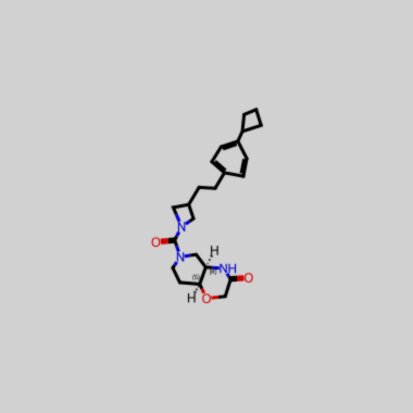 O=C1CO[C@H]2CCN(C(=O)N3CC(CCc4ccc(C5CCC5)cc4)C3)C[C@H]2N1